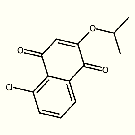 CC(C)OC1=CC(=O)c2c(Cl)cccc2C1=O